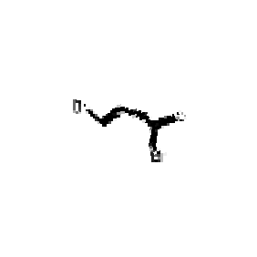 O=C(Br)C=CBr